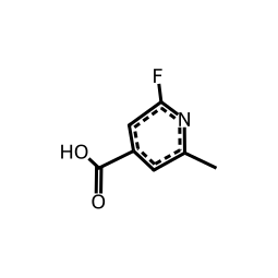 Cc1cc(C(=O)O)cc(F)n1